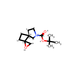 CC(C)(C)OC(=O)N1CC[C@@]2(CCC23CO3)C1